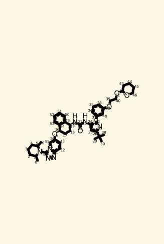 CC1CCCC(C)N1c1nnc2ccc(O[C@@H]3CC[C@H](NC(=O)Nc4cc(C(C)(C)C)nn4-c4cccc(OCCOC5CCCCO5)c4)c4ccccc43)cn12